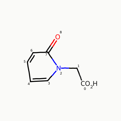 O=C(O)Cn1ccccc1=O